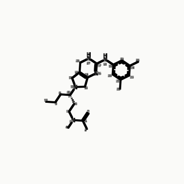 C=C(C)N(C)CC[C@H](CCC)N1CC2=C(C1)N=C(Nc1cc(C)cc(C)c1)NC2